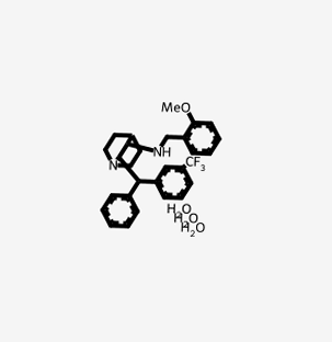 COc1ccccc1CNC1C2CCN(CC2)C1C(c1ccccc1)c1cccc(C(F)(F)F)c1.O.O.O